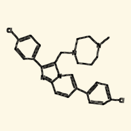 CN1CCCN(Cc2c(-c3ccc(Cl)cc3)nc3ccc(-c4ccc(Cl)cc4)cn23)CC1